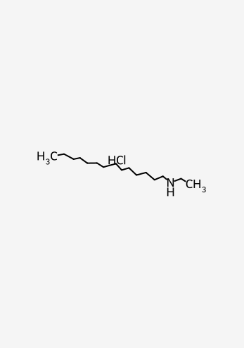 CCCCCCCCCCCCCCNCC.Cl